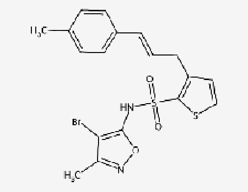 Cc1ccc(/C=C/Cc2ccsc2S(=O)(=O)Nc2onc(C)c2Br)cc1